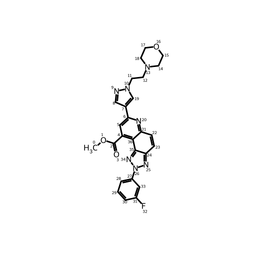 COC(=O)c1cc(-c2cnn(CCN3CCOCC3)c2)nc2ccc3nn(-c4cccc(F)c4)nc3c12